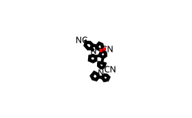 N#Cc1ccc(-c2ccc(-n3c4ccccc4c4ccccc43)c(C#N)c2)c(-c2ccccc2-n2c3ccccc3c3cc(C#N)ccc32)c1